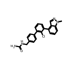 Cn1ncc2c(-c3cccc(-c4ccc(CNC(N)=O)cc4)c3Cl)cccc21